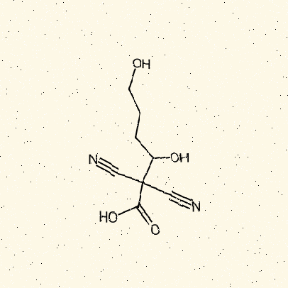 N#CC(C#N)(C(=O)O)C(O)CCCO